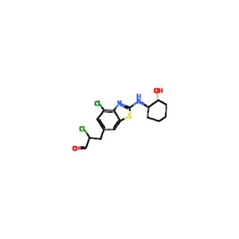 O=CC(Cl)Cc1cc(Cl)c2nc(N[C@@H]3CCCC[C@H]3O)sc2c1